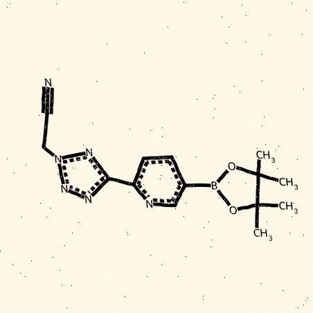 CC1(C)OB(c2ccc(-c3nnn(CC#N)n3)nc2)OC1(C)C